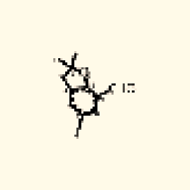 CC1(C)Cc2cc(I)cc(C=O)c2O1